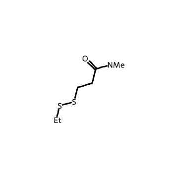 CCSSCCC(=O)NC